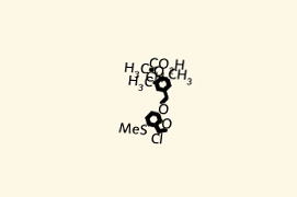 CSc1ccc(O/C=C/c2cc(C)c(OC(C)(C)C(=O)O)c(C)c2)c2occ(Cl)c12